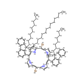 CCCCCCCCCCCCCCCCC1(CCCCCCCCCC)c2ccccc2-c2cccc(C3=C4C=CC(=N4)C(Br)=C4C=CC(=N4)C(c4cccc5c4C(C)(CCCCCCCC)c4ccccc4-5)=C4C=CC(=N4)C(Br)=C4C=CC3=N4)c21